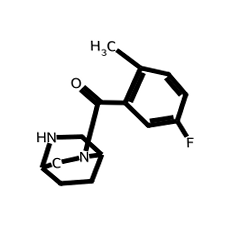 Cc1ccc(F)cc1C(=O)N1CC2CCC1CN2